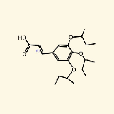 CCC(C)Oc1cc(/C=C/C(=O)O)cc(OC(C)CC)c1OC(C)CC